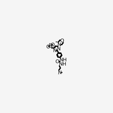 C[C@H]1COCCN1c1cc(CS(C)(=O)=O)nc(-c2ccc(NC(=O)NCCCN(C)C)cc2)n1